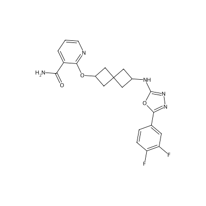 NC(=O)c1cccnc1OC1CC2(CC(Nc3nnc(-c4ccc(F)c(F)c4)o3)C2)C1